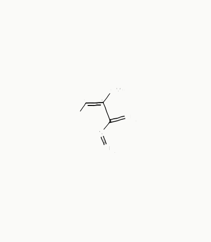 C=NC(=C)/C(=C\CC)OC